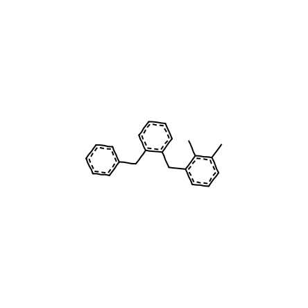 Cc1cccc(Cc2ccccc2Cc2ccccc2)c1C